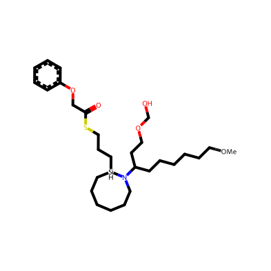 COCCCCCCC(CCOCO)N1CCCCCC[SiH]1CCCSC(=O)COc1ccccc1